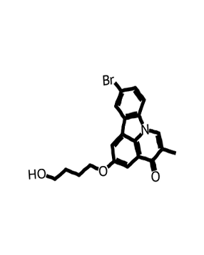 Cc1cn2c3ccc(Br)cc3c3cc(OCCCCO)cc(c1=O)c32